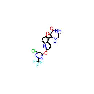 C[C@@H]1CNc2c(oc3ccc4nc(Oc5cc(Cl)nc(C(F)(F)F)n5)ccc4c23)C(=O)N1